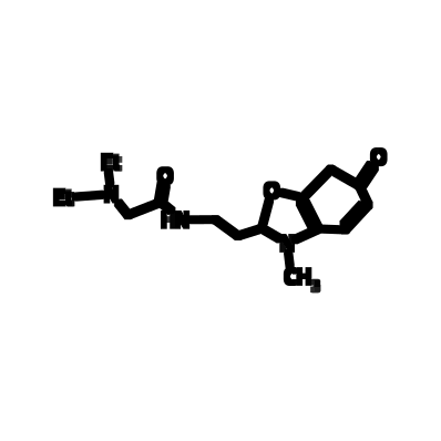 CCN(CC)CC(=O)NCCC1OC2=C(C=CC(=O)C2)N1C